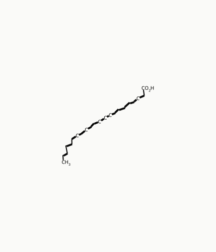 CC=CC=CC=C=C=C=C=C=C=C=C=C=C=C=C=C=C=CC(=O)O